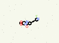 O=c1c2ccc(C#Cc3ccnc(F)c3)cc2nc2n1CCC1(CC2)OCCO1